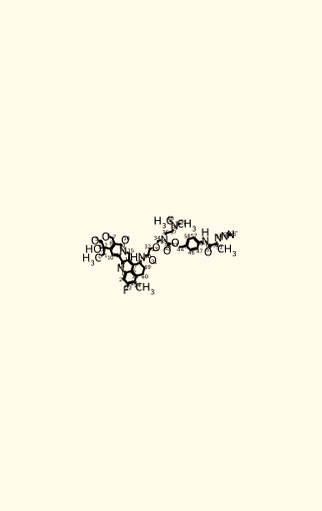 CC[C@@]1(O)C(=O)OCc2c1cc1n(c2=O)Cc2c-1nc1cc(F)c(C)c3c1c2C(NC(=O)COCN(CCN(C)C)C(=O)OCc1ccc(NC(=O)C(C)N=[N+]=[N-])cc1)CC3